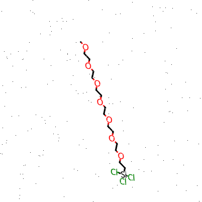 COCCOCCOCCOCCOCCOCCOCC[Si](Cl)(Cl)Cl